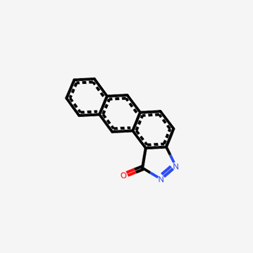 O=C1N=Nc2ccc3cc4ccccc4cc3c21